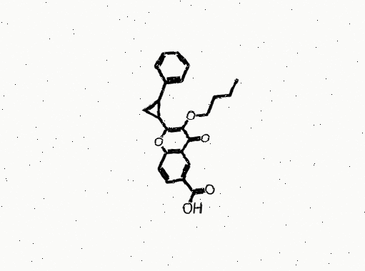 CCCCOc1c(C2CC2c2ccccc2)oc2ccc(C(=O)O)cc2c1=O